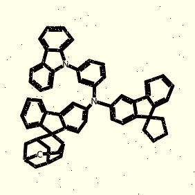 c1cc(N(c2ccc3c(c2)-c2ccccc2C32CCCC2)c2ccc3c(c2)-c2ccccc2C32C3CCC4CC(C3)CC2C4)cc(-n2c3ccccc3c3ccccc32)c1